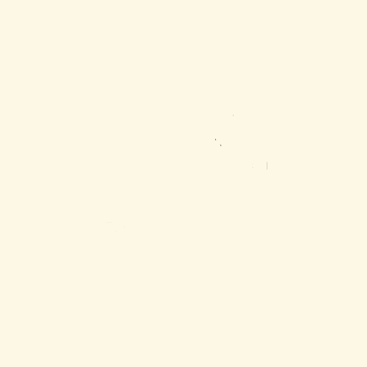 C=Cc1ccccc1CCN(C)C(C)c1ccc(CC)cc1